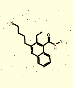 CCc1c(CCCCN)cc2ccccc2c1C(=O)NN